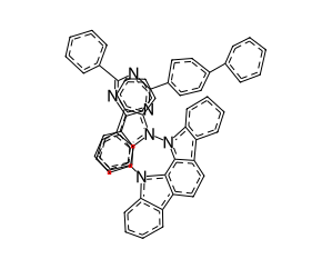 c1ccc(-c2ccc(-c3nc(-c4ccccc4)nc(-c4cccc(-n5c6ccccc6c6ccc7c8ccccc8n(-n8c9ccccc9c9ccccc98)c7c65)c4)n3)cc2)cc1